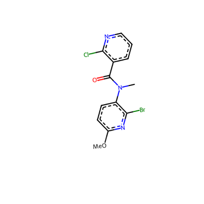 COc1ccc(N(C)C(=O)c2cccnc2Cl)c(Br)n1